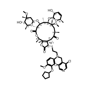 COc1ccc(N(CCS[C@@H]2C(=O)O[C@@]3(C)[C@H]2[C@@H](C)C(=O)[C@H](C)C[C@@](C)(OC)[C@H](O[C@@H]2O[C@H](C)C=C[C@H]2O)[C@@H](C)[C@H](O[C@H]2C[C@@](C)(OC)[C@@H](O)[C@H](C)O2)[C@@H](C)C(=O)O[C@@H]3C)Cc2c(Cl)cncc2Cl)cc1OC1CCCC1